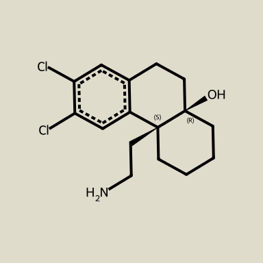 NCC[C@]12CCCC[C@@]1(O)CCc1cc(Cl)c(Cl)cc12